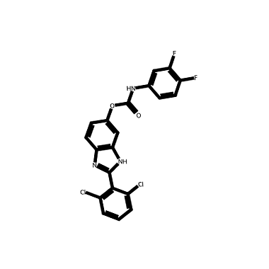 O=C(Nc1ccc(F)c(F)c1)Oc1ccc2nc(-c3c(Cl)cccc3Cl)[nH]c2c1